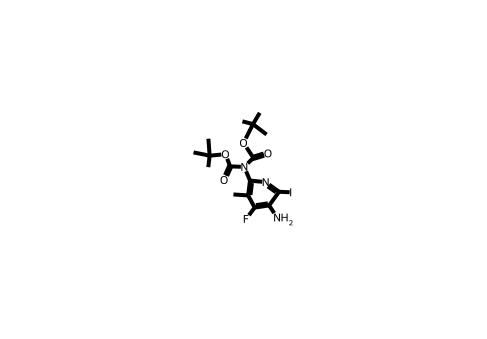 Cc1c(N(C(=O)OC(C)(C)C)C(=O)OC(C)(C)C)nc(I)c(N)c1F